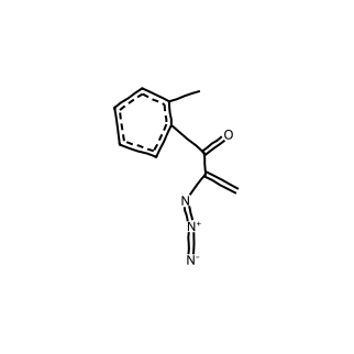 C=C(N=[N+]=[N-])C(=O)c1ccccc1C